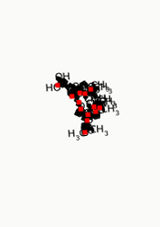 CCC(C(=O)N1CCCCC1C(=O)OC(CCc1ccc(CO)c(CO)c1)c1cccc(CCCCOc2cccc(C(CCc3ccc(OC)c(OC)c3)OC(=O)C3CCCCN3C(=O)C(CC)c3cc(OC)c(OC)c(OC)c3)c2)c1)c1cc(CO)c(OC)c(OC)c1